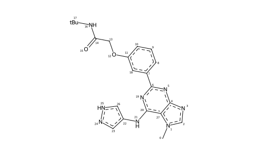 Cn1cnc2nc(-c3cccc(OCC(=O)NC(C)(C)C)c3)nc(Nc3cn[nH]c3)c21